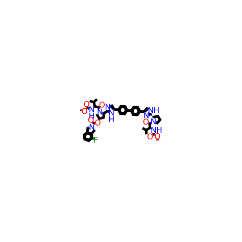 COC(=O)N[C@H](C(=O)N1C[C@H](OC(=O)N2Cc3cccc(F)c3C2)CC1c1ncc(-c2ccc(-c3ccc(-c4c[nH]c([C@@H]5CCCN5C(=O)[C@@H](NC(=O)OC)C(C)C)n4)cc3)cc2)[nH]1)C(C)C